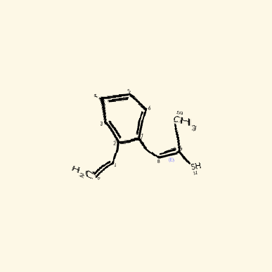 C=Cc1ccccc1/C=C(\C)S